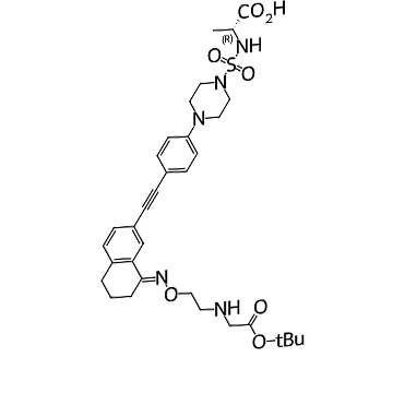 C[C@@H](NS(=O)(=O)N1CCN(c2ccc(C#Cc3ccc4c(c3)C(=NOCCNCC(=O)OC(C)(C)C)CCC4)cc2)CC1)C(=O)O